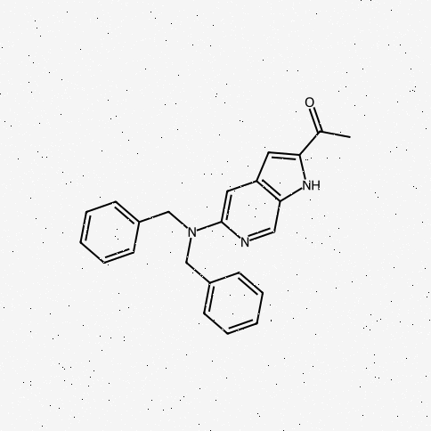 CC(=O)c1cc2cc(N(Cc3ccccc3)Cc3ccccc3)ncc2[nH]1